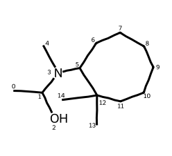 CC(O)N(C)C1CCCCCCC1(C)C